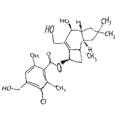 Cc1c(Cl)c(CO)cc(O)c1C(=O)O[C@@H]1C[C@@]2(C)C1=C(CO)[C@@H](O)[C@@H]1CC(C)(C)C[C@@H]12